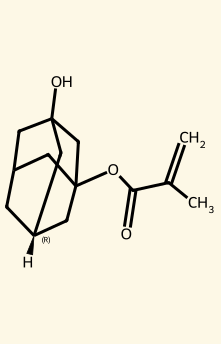 C=C(C)C(=O)OC12CC3C[C@H](CC(O)(C3)C1)C2